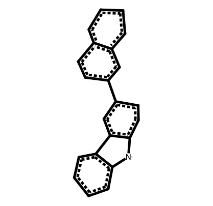 c1ccc2c(c1)[N]c1ccc(-c3ccc4ccccc4c3)cc1-2